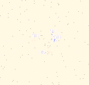 CNC(=O)c1ccc2c(c1)-c1cc(C(=O)NC)ccc1C2(C[C@H](C)N)c1nn[nH]n1